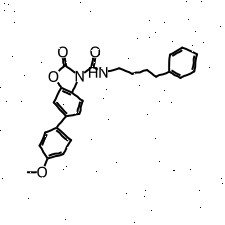 COc1ccc(-c2ccc3c(c2)oc(=O)n3C(=O)NCCCCc2ccccc2)cc1